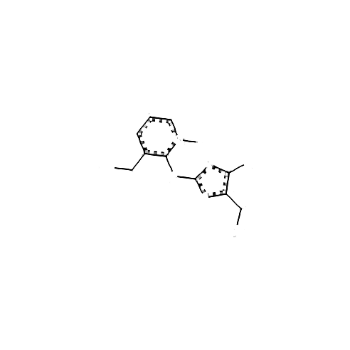 CCOC(=O)Cc1ccc[n+]([O-])c1Sc1nc(C)c(CC(=O)OCC)s1